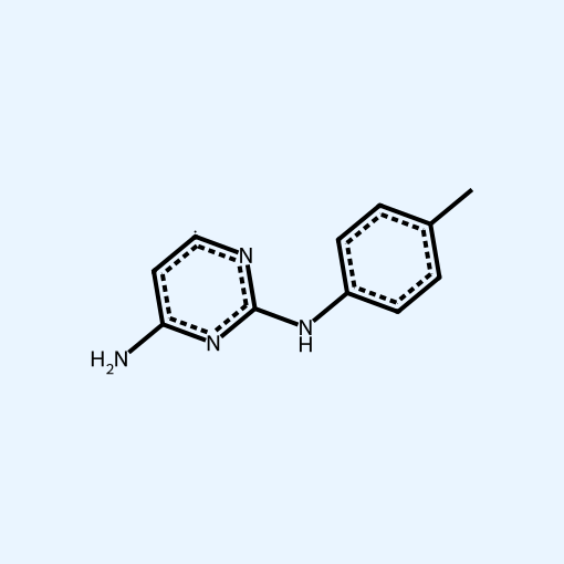 Cc1ccc(Nc2n[c]cc(N)n2)cc1